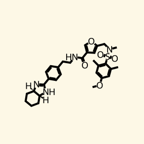 COc1cc(C)c(S(=O)(=O)N(C)Cc2cc(C(=O)NCCc3ccc(C4=N[C@@H]5CCCC[C@H]5N4)cc3)co2)c(C)c1